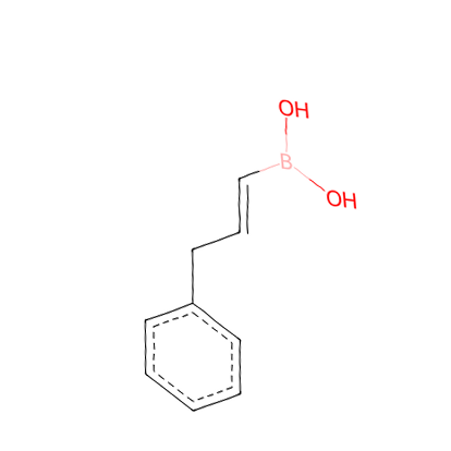 OB(O)/C=C/Cc1ccccc1